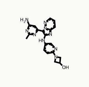 Cc1nc(N)cc(-c2c(Nc3ccc(N4CC(O)C4)nc3)nc3cccnn23)n1